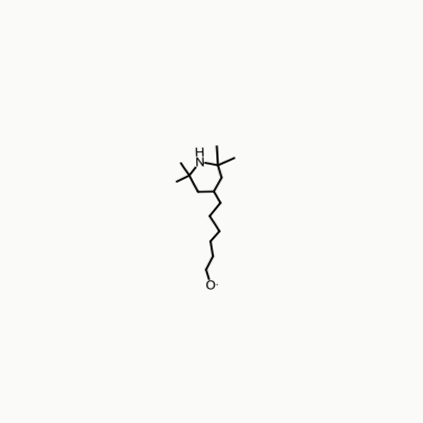 CC1(C)CC(CCCCCC[O])CC(C)(C)N1